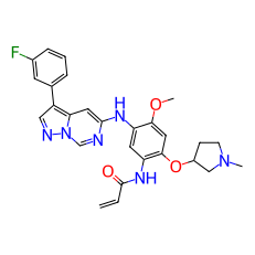 C=CC(=O)Nc1cc(Nc2cc3c(-c4cccc(F)c4)cnn3cn2)c(OC)cc1OC1CCN(C)C1